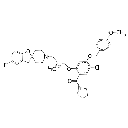 COc1ccc(COc2cc(OC[C@@H](O)CN3CCC4(CC3)Cc3cc(F)ccc3O4)c(C(=O)N3CCCC3)cc2Cl)cc1